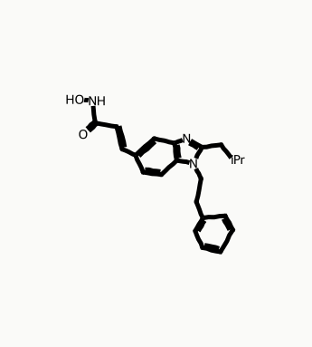 CC(C)Cc1nc2cc(C=CC(=O)NO)ccc2n1CCc1ccccc1